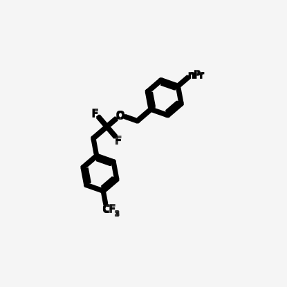 CCCc1ccc(COC(F)(F)Cc2ccc(C(F)(F)F)cc2)cc1